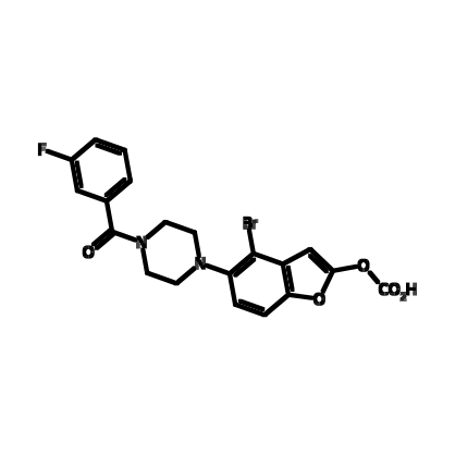 O=C(O)Oc1cc2c(Br)c(N3CCN(C(=O)c4cccc(F)c4)CC3)ccc2o1